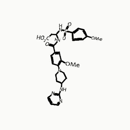 COc1ccc(S(=O)(=O)NC(CC(=O)O)NC(=O)c2ccc(N3CCC(Nc4ncccn4)CC3)c(OC)c2)cc1